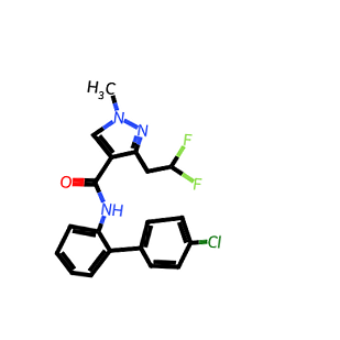 Cn1cc(C(=O)Nc2ccccc2-c2ccc(Cl)cc2)c(CC(F)F)n1